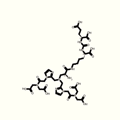 N[C@@H](CN(Cc1nccn1CC(=O)N(CC(=O)O)CC(=O)O)Cc1nccn1CC(=O)N(CC(=O)O)CC(=O)O)C(=O)NCCCC[C@H](NC(=O)N[C@@H](CCC(=O)O)C(=O)O)C(=O)O